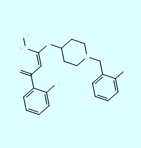 CNN/C(=C\C(=N)c1ccccc1Cl)NC1CCN(Cc2ccccc2Cl)CC1